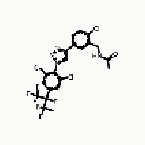 CC(=O)NCc1cc(-c2cn(-c3c(Cl)cc(C(F)(C(F)(F)F)C(F)(F)F)cc3Cl)nn2)ccc1Cl